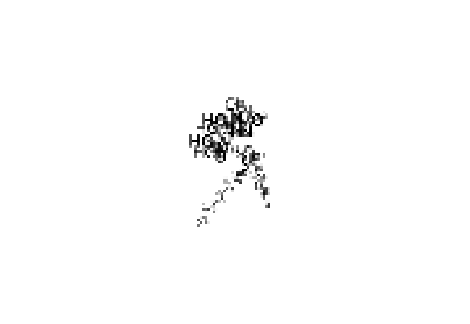 CCCCCCCCCCCCSC(CCCCCCC)C(C)OCCCOP(=O)(O)C(O)[C@H]1O[C@@H](n2cnc3c(OC)nc(Cl)nc32)[C@](O)(F)[C@@H]1O